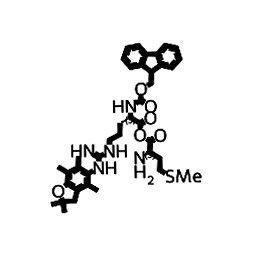 CSCC[C@H](N)C(=O)OC(=O)[C@H](CCCNC(=N)Nc1c(C)c(C)c2c(c1C)CC(C)(C)O2)NC(=O)OCC1c2ccccc2-c2ccccc21